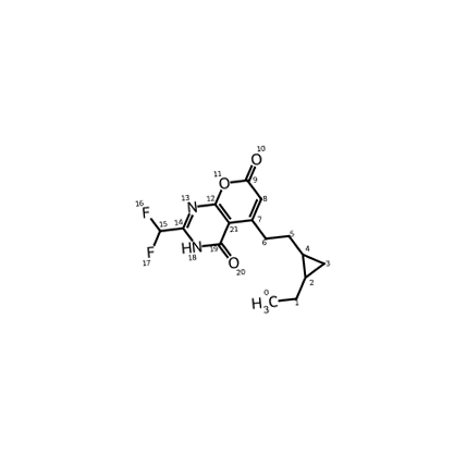 CCC1CC1CCc1cc(=O)oc2nc(C(F)F)[nH]c(=O)c12